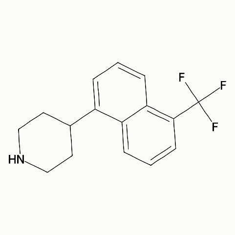 FC(F)(F)c1cccc2c(C3CCNCC3)cccc12